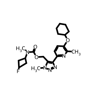 Cc1nc(-c2nnn(C)c2COC(=O)N(C)C2CC(F)C2)ccc1OC1CCCCC1